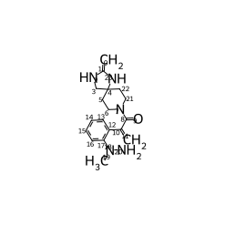 C=C1NCC2(CCN(C(=O)C(=C)c3ccccc3N(C)N)CC2)N1